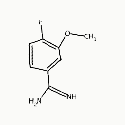 COc1cc(C(=N)N)ccc1F